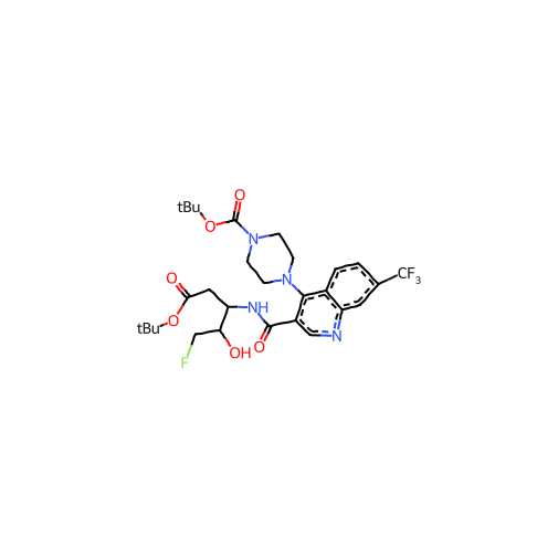 CC(C)(C)OC(=O)CC(NC(=O)c1cnc2cc(C(F)(F)F)ccc2c1N1CCN(C(=O)OC(C)(C)C)CC1)C(O)CF